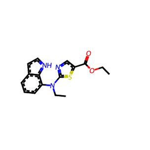 CCOC(=O)c1cnc(N(CC)c2cccc3cc[nH]c23)s1